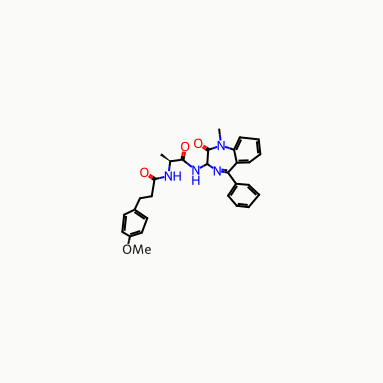 COc1ccc(CCC(=O)N[C@@H](C)C(=O)NC2N=C(c3ccccc3)c3ccccc3N(C)C2=O)cc1